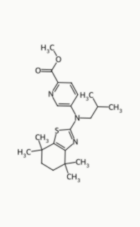 COC(=O)c1ccc(N(CC(C)C)c2nc3c(s2)C(C)(C)CCC3(C)C)cn1